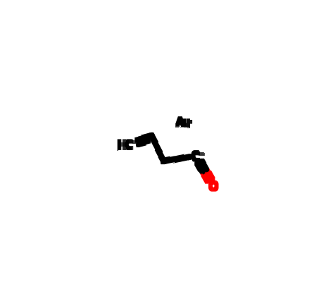 [Au].[CH-]=CC[C-]=O